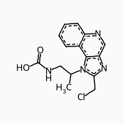 CC(CNC(=O)O)n1c(CCl)nc2cnc3ccccc3c21